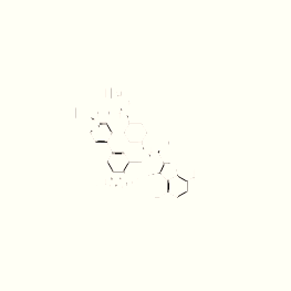 COc1ccc(-c2ccncc2)cc1CN(C(=O)c1sc2c(F)ccc(F)c2c1Cl)C1CCC(N(CC(C)(C)C)C(=O)O)CC1